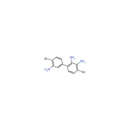 CC(=O)c1ccc(-c2ccc(C(C)=O)c(N)c2N)cc1N